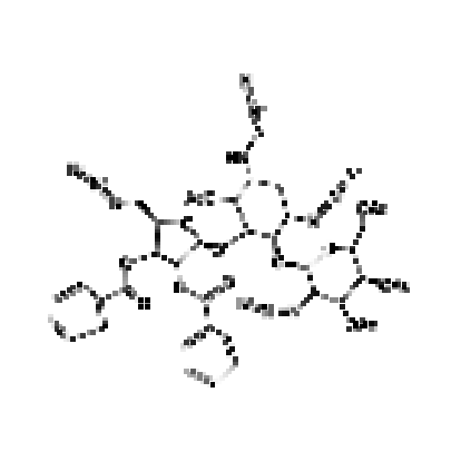 CC(=O)OCC1O[C@H](O[C@@H]2C(N=[N+]=[N-])C[C@@H](NN=[N+]=[N-])C(OC(C)=O)C2O[C@@H]2O[C@H](CN=[N+]=[N-])C(OC(=O)c3ccccc3)C2OC(=O)c2ccccc2)C(N=[N+]=[N-])C(OC(C)=O)[C@@H]1OC(C)=O